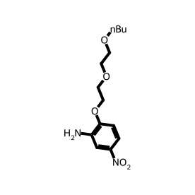 CCCCOCCOCCOc1ccc([N+](=O)[O-])cc1N